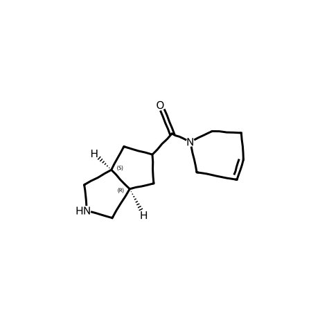 O=C(C1C[C@H]2CNC[C@H]2C1)N1CC=CCC1